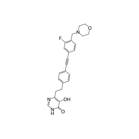 O=c1[nH]cnc(CCc2ccc(C#Cc3ccc(CN4CCOCC4)c(F)c3)cc2)c1O